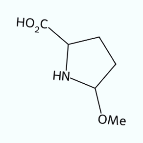 COC1CCC(C(=O)O)N1